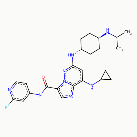 CC(C)N[C@H]1CC[C@H](Nc2cc(NC3CC3)c3ncc(C(=O)Nc4ccnc(F)c4)n3n2)CC1